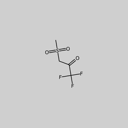 CS(=O)(=O)CC(=O)C(F)(F)F